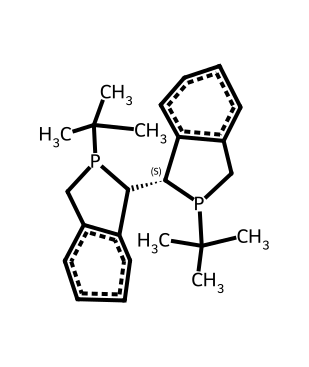 CC(C)(C)P1Cc2ccccc2C1[C@@H]1c2ccccc2CP1C(C)(C)C